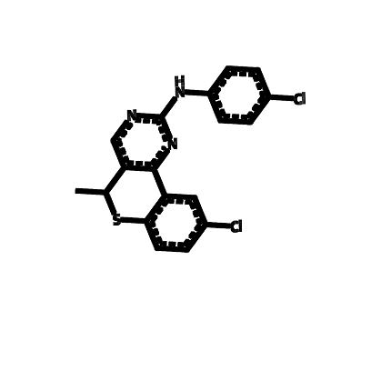 CC1Sc2ccc(Cl)cc2-c2nc(Nc3ccc(Cl)cc3)ncc21